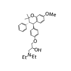 CCN(CC)C[C@H](O)COc1ccc([C@@H]2c3ccc(OC)cc3OC(C)(C)[C@H]2c2ccccc2)cc1